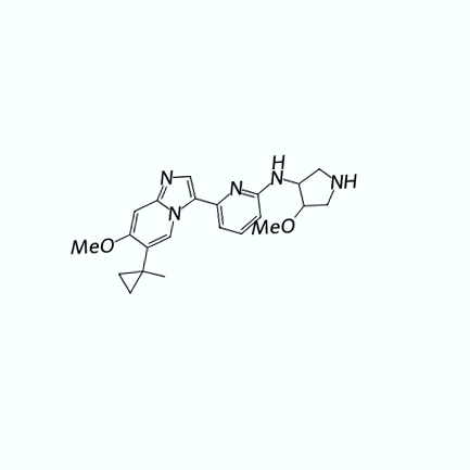 COc1cc2ncc(-c3cccc(NC4CNCC4OC)n3)n2cc1C1(C)CC1